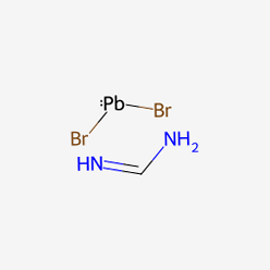 N=CN.[Br][Pb][Br]